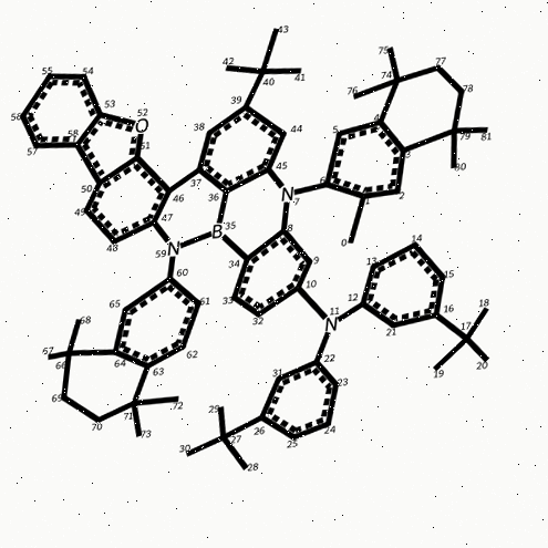 Cc1cc2c(cc1N1c3cc(N(c4cccc(C(C)(C)C)c4)c4cccc(C(C)(C)C)c4)ccc3B3c4c(cc(C(C)(C)C)cc41)-c1c(ccc4c1oc1ccccc14)N3c1ccc3c(c1)C(C)(C)CCC3(C)C)C(C)(C)CCC2(C)C